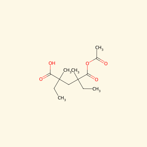 CCC(C)(CC(C)(CC)C(=O)OC(C)=O)C(=O)O